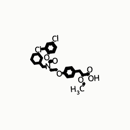 CCOC(Cc1ccc(OCCN(CC2CCCCC2)C(=O)Oc2ccc(Cl)cc2Cl)cc1)C(=O)O